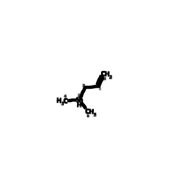 C=C[CH2][SnH]([CH3])[CH3]